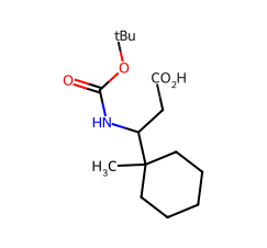 CC(C)(C)OC(=O)NC(CC(=O)O)C1(C)CCCCC1